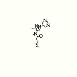 CSCCC(=O)N(C)c1cn(-c2cncnc2)nc1C